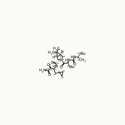 C[C@@H](NC(=O)N[C@H](C(=O)N1C[C@H]2[C@@H]([C@H]1C(=O)NC(CC1CC1)C(=O)C(N)=O)C2(C)C)C(C)(C)C)C(C)(C)C